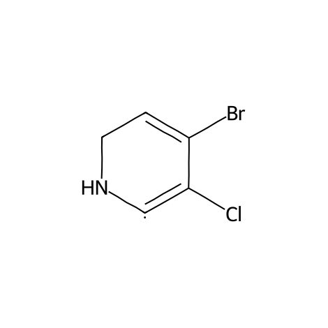 ClC1=[C]NCC=C1Br